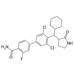 NC(=O)c1ccc(-c2cc(Cl)c(C(C3CCCCC3)C3CCNC3=O)c(Cl)c2)cc1F